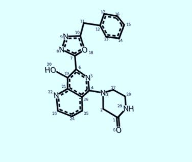 O=C1CN(c2nc(-c3nnc(Cc4ccccc4)o3)c(O)c3ncccc23)CCN1